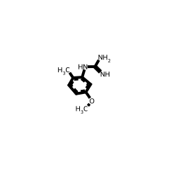 COc1ccc(C)c(NC(=N)N)c1